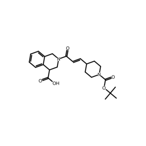 CC(C)(C)OC(=O)N1CCC(C=CC(=O)N2Cc3ccccc3C(C(=O)O)C2)CC1